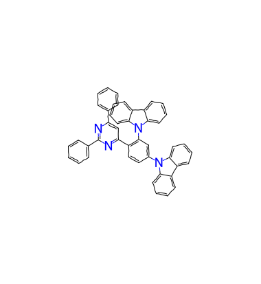 c1ccc(-c2cc(-c3ccc(-n4c5ccccc5c5ccccc54)cc3-n3c4ccccc4c4ccccc43)nc(-c3ccccc3)n2)cc1